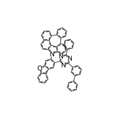 c1ccc(-c2cccc(-c3nc(-c4ccccc4)nc(-c4cc5c(cc4-n4c6cccc7c6c6c8c(cccc8ccc64)-c4ccccc4-7)oc4ccccc45)n3)c2)cc1